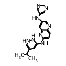 CC(C)C1=CNNC(Nc2ccc3ncc(Nc4cncnc4)cc3n2)=C1